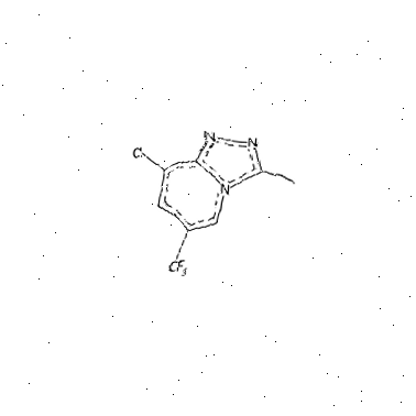 Cc1nnc2c(Cl)cc(C(F)(F)F)cn12